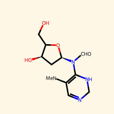 CNC1=C(N(C=O)[C@H]2C[C@@H](O)C(CO)O2)NCN=C1